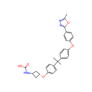 Cc1nnc(-c2ccc(Oc3ccc(C(C)(C)c4ccc(O[C@H]5C[C@H](NC(=O)O)C5)cc4)cc3)cc2)o1